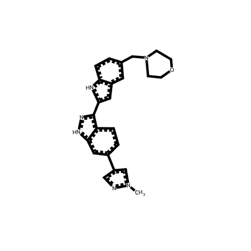 Cn1cc(-c2ccc3c(-c4cc5cc(CN6CCOCC6)ccc5[nH]4)n[nH]c3c2)cn1